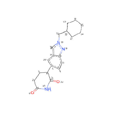 O=C1CCC(c2ccc3nn(CC4CCCCC4)cc3c2)C(=O)N1